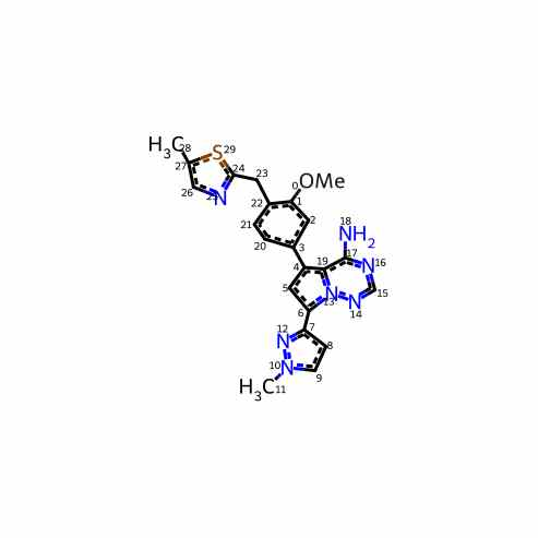 COc1cc(-c2cc(-c3ccn(C)n3)n3ncnc(N)c23)ccc1Cc1ncc(C)s1